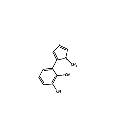 Cn1c[c]cc1-c1cccc(C#N)c1C#N